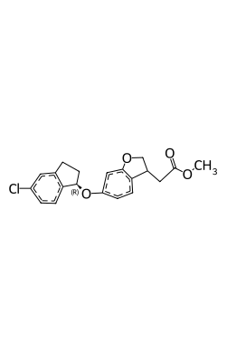 COC(=O)CC1COc2cc(O[C@@H]3CCc4cc(Cl)ccc43)ccc21